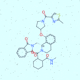 CNC(=O)C1CCCCC1C(=O)N1CCc2cccc(OC3CCN(C(=O)c4csc(C)n4)C3)c2[C@H]1CN1C(=O)c2ccccc2C1=O